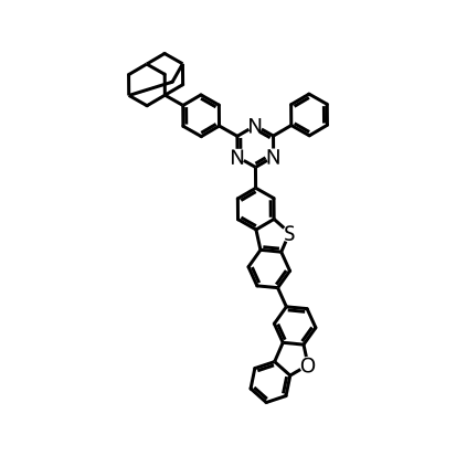 c1ccc(-c2nc(-c3ccc(C45CC6CC(CC(C6)C4)C5)cc3)nc(-c3ccc4c(c3)sc3cc(-c5ccc6oc7ccccc7c6c5)ccc34)n2)cc1